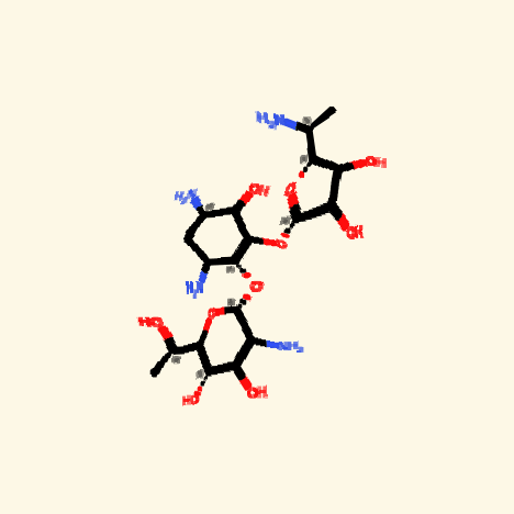 C[C@H](N)[C@H]1O[C@@H](OC2C(O)[C@H](N)CC(N)[C@H]2O[C@H]2OC([C@@H](C)O)[C@@H](O)C(O)C2N)C(O)C1O